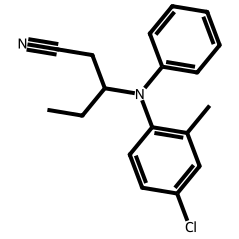 CCC(CC#N)N(c1ccccc1)c1ccc(Cl)cc1C